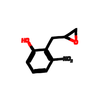 O=[N+]([O-])c1cccc(O)c1CC1CO1